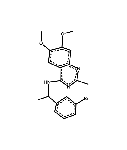 COc1cc2nc(C)nc(NC(C)c3cccc(Br)c3)c2cc1OC